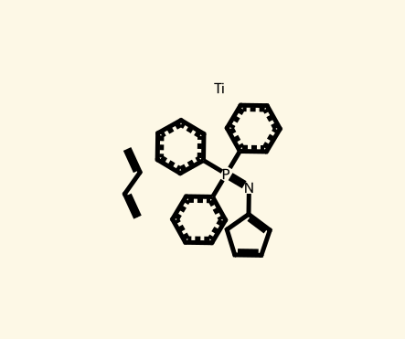 C1=CCC(N=P(c2ccccc2)(c2ccccc2)c2ccccc2)=C1.C=CC=C.[Ti]